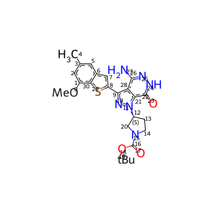 COc1cc(C)cc2cc(-c3nn([C@H]4CCN(C(=O)OC(C)(C)C)C4)c4c(=O)[nH]nc(N)c34)sc12